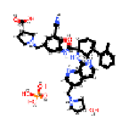 Cc1ccccc1C1=CC=CC(Nc2nccc3cc(CN4CC[C@@H](O)C4)cnc23)(c2nc3cc(CN4CC[C@@H](C(=O)O)C4)cc(C#N)c3o2)C1C.O=P(O)(O)O